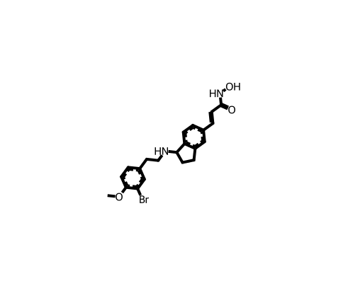 COc1ccc(CCNC2CCc3cc(/C=C/C(=O)NO)ccc32)cc1Br